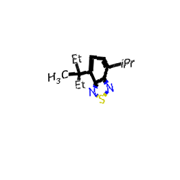 CCC(C)(CC)c1ccc(C(C)C)c2nsnc12